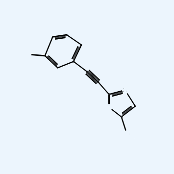 CCOC(=O)c1cnc(C#Cc2cccc(C)c2)s1